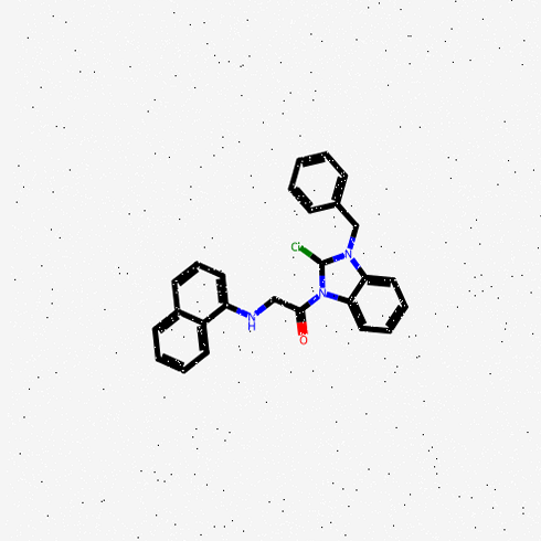 O=C(CNc1cccc2ccccc12)N1c2ccccc2N(Cc2ccccc2)C1Cl